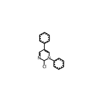 ClC1N=CC(c2ccccc2)=CN1c1ccccc1